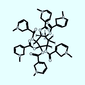 CN1C=CC=C(C(=O)OC2(I)C(OC(=O)C3=CC=CN(C)C3)(OC(=O)C3=CC=CN(C)C3)C(I)(OC(=O)C3=CC=CN(C)C3)[C@](I)(OC(=O)C3=CC=CN(C)C3)[C@](I)(OC(=O)C3=CC=CN(C)C3)C2(I)I)C1